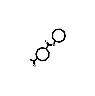 CC(=O)C1CCCCC(C(=O)NC2CCCCCCCC2)CCC1